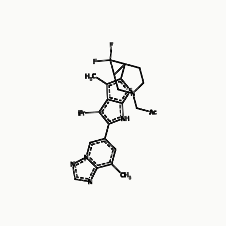 CC(=O)CN1CCC2(c3sc4[nH]c(-c5cc(C)c6ncnn6c5)c(C(C)C)c4c3C)C(C1)C2(F)F